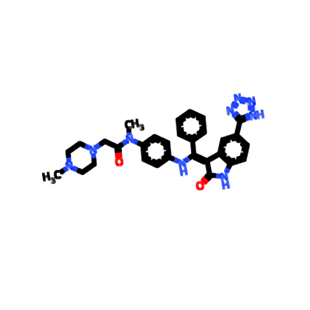 CN1CCN(CC(=O)N(C)c2ccc(N/C(=C3\C(=O)Nc4ccc(-c5nnn[nH]5)cc43)c3ccccc3)cc2)CC1